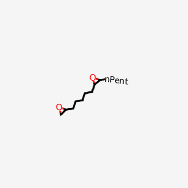 CCCCCC1OC1CCCCCC1CO1